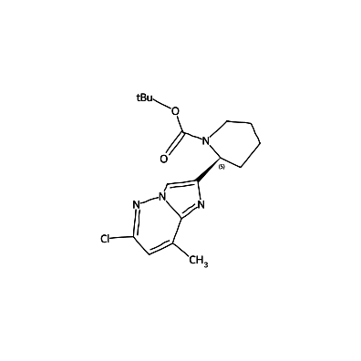 Cc1cc(Cl)nn2cc([C@@H]3CCCCN3C(=O)OC(C)(C)C)nc12